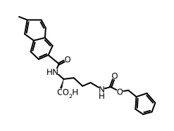 Cc1ccc2cc(C(=O)N[C@@H](CCCNC(=O)OCc3ccccc3)C(=O)O)ccc2c1